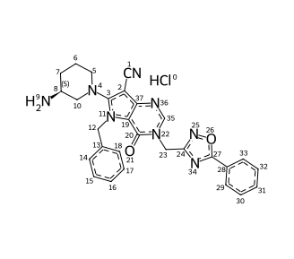 Cl.N#Cc1c(N2CCC[C@H](N)C2)n(Cc2ccccc2)c2c(=O)n(Cc3noc(-c4ccccc4)n3)cnc12